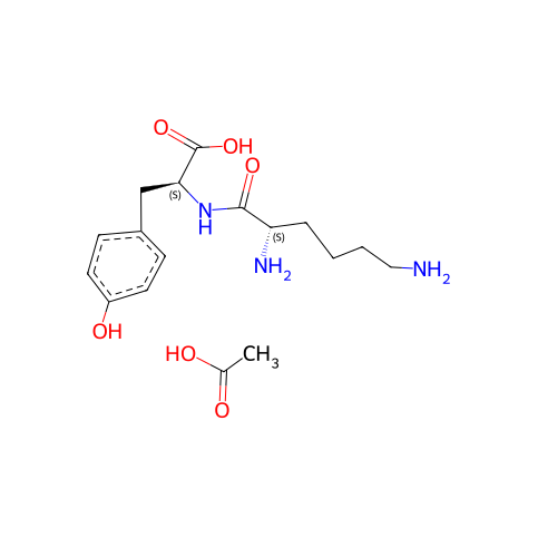 CC(=O)O.NCCCC[C@H](N)C(=O)N[C@@H](Cc1ccc(O)cc1)C(=O)O